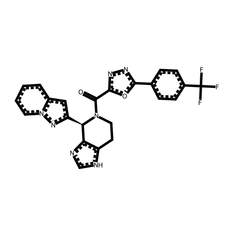 O=C(c1nnc(-c2ccc(C(F)(F)F)cc2)o1)N1CCc2[nH]cnc2[C@H]1c1cc2ccccn2n1